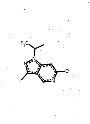 CC(n1nc(I)c2cnc(Cl)cc21)C(F)(F)F